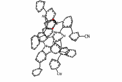 N#Cc1cccc(-c2cccc(-c3nc(-c4c(-c5cccc(C#N)c5)cccc4-n4c5ccc(-c6ccccc6)cc5c5cc(-c6ccccc6)ccc54)nc(-c4c(-c5cccc(C#N)c5)cccc4-n4c5ccc(-c6ccccc6)cc5c5cc(-c6ccccc6)ccc54)n3)c2)c1